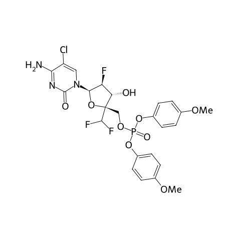 COc1ccc(OP(=O)(OC[C@@]2(C(F)F)O[C@@H](n3cc(Cl)c(N)nc3=O)[C@@H](F)[C@@H]2O)Oc2ccc(OC)cc2)cc1